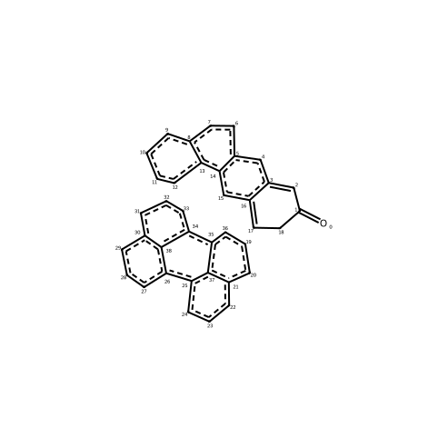 O=C1C=c2cc3ccc4ccccc4c3cc2=CC1.c1cc2cccc3c4cccc5cccc(c(c1)c23)c54